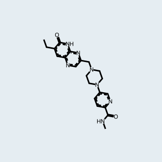 CCc1cc2ncc(CN3CCN(c4ccc(C(=O)NC)nc4)CC3)nc2[nH]c1=O